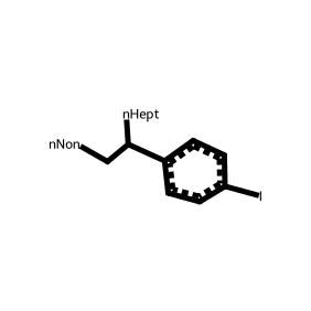 [CH2]CCCCCCC(CCCCCCCCCC)c1ccc(I)cc1